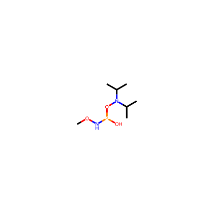 CONP(O)ON(C(C)C)C(C)C